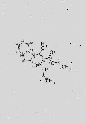 CCOC(=O)C(C(=O)OCC)=C(C)N1CCc2ccccc21